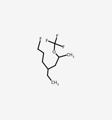 CCC(CCCF)CC(C)OC(F)(F)F